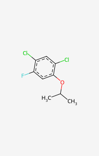 CC(C)Oc1cc(F)c(Cl)cc1Cl